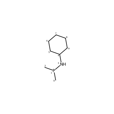 CP(C)NC1CCCCC1